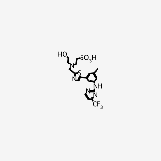 Cc1cc(Nc2nccc(C(F)(F)F)n2)cc(-c2cnc(CN(CCO)CCS(=O)(=O)O)s2)c1